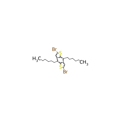 CCCCCCc1c2cc(Br)sc2c(CCCCCC)c2cc(Br)sc12